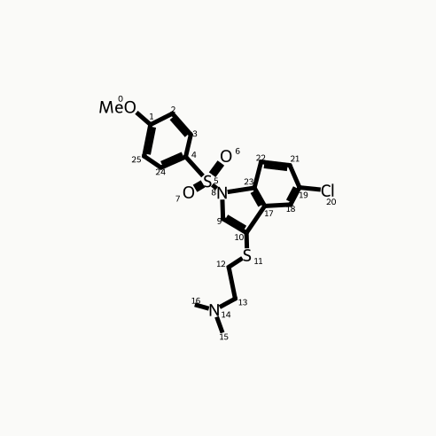 COc1ccc(S(=O)(=O)n2cc(SCCN(C)C)c3cc(Cl)ccc32)cc1